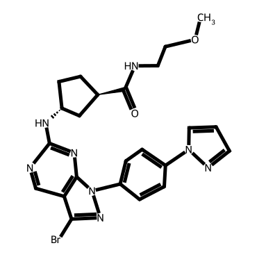 COCCNC(=O)[C@@H]1CC[C@@H](Nc2ncc3c(Br)nn(-c4ccc(-n5cccn5)cc4)c3n2)C1